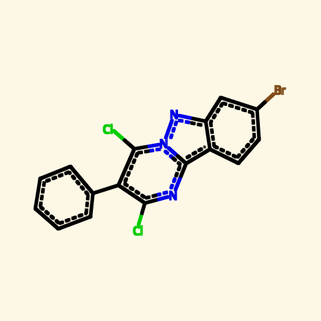 Clc1nc2c3ccc(Br)cc3nn2c(Cl)c1-c1ccccc1